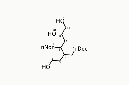 CCCCCCCCCCCC(CCO)C(CCCCCCCCC)CC(O)CO